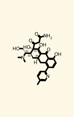 Cc1ccc(-c2ccc(O)c3c2C[C@H]2C[C@@H]([C@@H](CO)N(C)C)[C@@](O)(C(=O)CC(N)=O)C(O)=C2C3=O)nc1